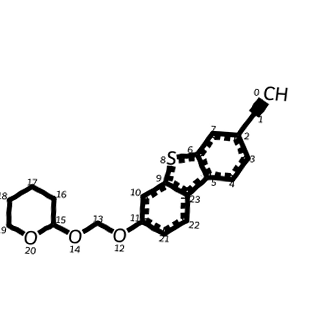 C#Cc1ccc2c(c1)sc1cc(OCOC3CCCCO3)ccc12